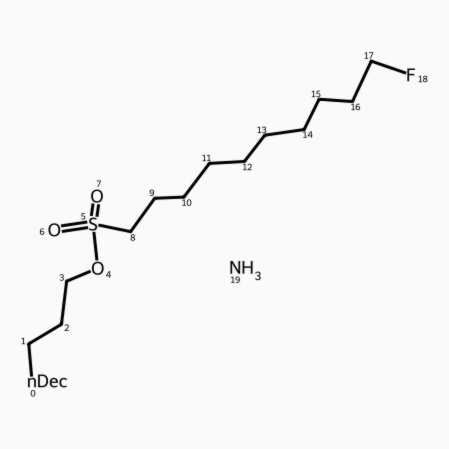 CCCCCCCCCCCCCOS(=O)(=O)CCCCCCCCCCF.N